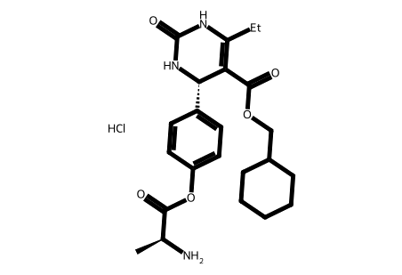 CCC1=C(C(=O)OCC2CCCCC2)[C@H](c2ccc(OC(=O)[C@H](C)N)cc2)NC(=O)N1.Cl